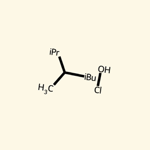 CCC(C)C(C)C(C)C.OCl